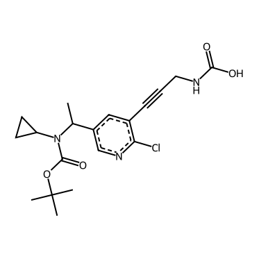 CC(c1cnc(Cl)c(C#CCNC(=O)O)c1)N(C(=O)OC(C)(C)C)C1CC1